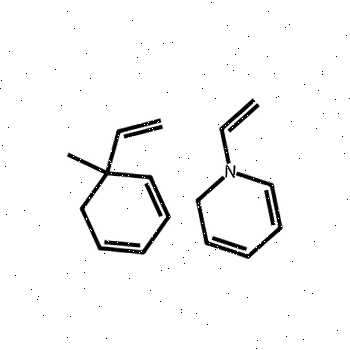 C=CC1(C)C=CC=CC1.C=CN1C=CC=CC1